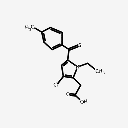 CCn1c(C(=S)c2ccc(C)cc2)cc(Cl)c1CC(=O)O